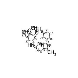 COc1cc(Nc2ncc3c(C)nc(-c4[c]cccc4)n3n2)cc(OC)c1OC